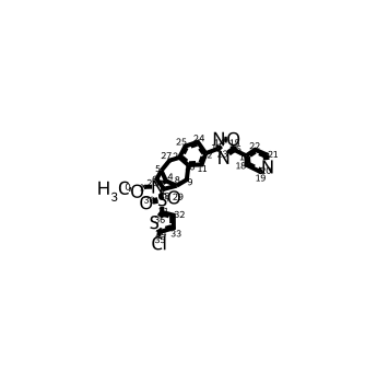 COCN(C1C2CCC1Cc1cc(-c3noc(-c4ccncc4)n3)ccc1C2)S(=O)(=O)c1ccc(Cl)s1